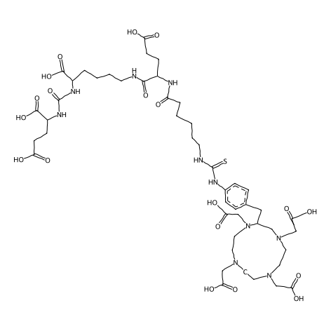 O=C(O)CCC(NC(=O)NC(CCCCNC(=O)C(CCC(=O)O)NC(=O)CCCCCNC(=S)Nc1ccc(CC2CN(CC(=O)O)CCN(CC(=O)O)CCN(CC(=O)O)CCN2CC(=O)O)cc1)C(=O)O)C(=O)O